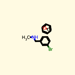 CNCc1cccc(Br)c1.c1cc2ccc1CO2